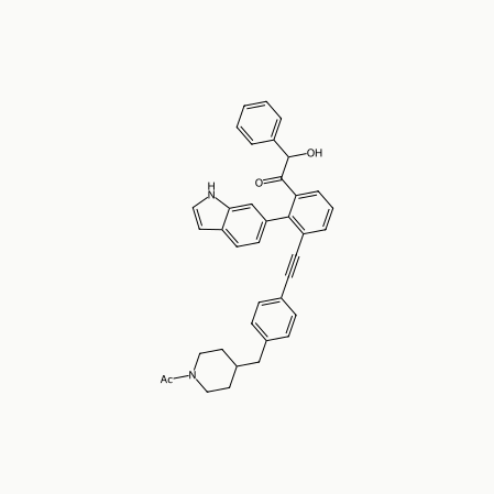 CC(=O)N1CCC(Cc2ccc(C#Cc3cccc(C(=O)C(O)c4ccccc4)c3-c3ccc4cc[nH]c4c3)cc2)CC1